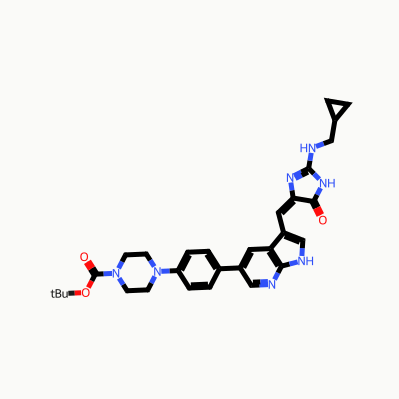 CC(C)(C)OC(=O)N1CCN(c2ccc(-c3cnc4[nH]cc(C=C5N=C(NCC6CC6)NC5=O)c4c3)cc2)CC1